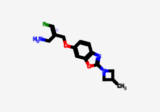 CC1CN(c2nc3ccc(OC/C(=C/F)CN)cc3o2)C1